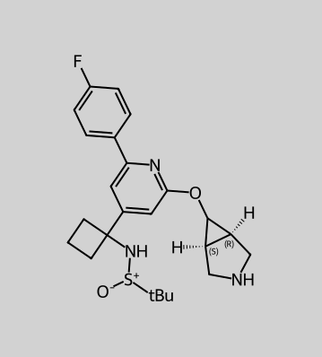 CC(C)(C)[S+]([O-])NC1(c2cc(OC3[C@H]4CNC[C@@H]34)nc(-c3ccc(F)cc3)c2)CCC1